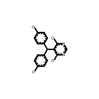 Clc1ccc(C(c2ccc(Cl)cc2)c2c(Cl)ncnc2Cl)cc1